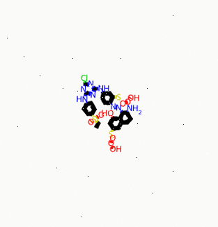 C=CS(=O)(=O)c1ccc(Nc2nc(Cl)nc(Nc3ccc(/N=N/c4c(N)ccc5cc(SOOO)cc(O)c45)c(SOOO)c3)n2)cc1